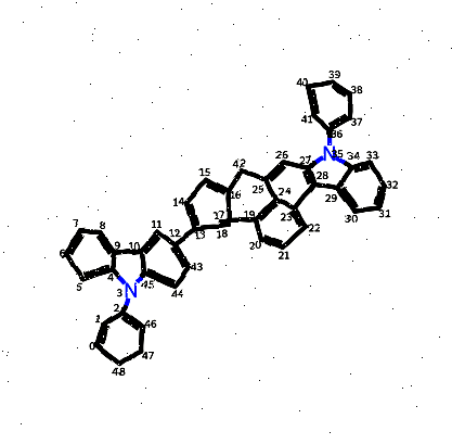 C1=CC(n2c3ccccc3c3cc(-c4ccc5c(c4)-c4cccc6c4c(cc4c6c6ccccc6n4-c4ccccc4)C5)ccc32)=CCC1